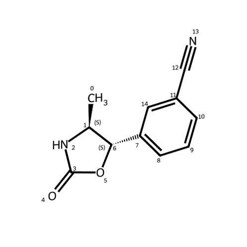 C[C@@H]1NC(=O)O[C@H]1c1cccc(C#N)c1